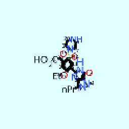 CCCc1nn(C)c2c(=O)[nH]c(-c3cc(S(=O)(=O)N4CCNCC4)c(CC(=O)O)cc3OCC)nc12